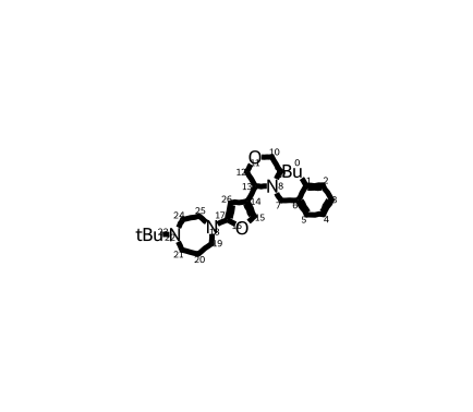 CC(C)(C)c1ccccc1CN1CCOCC1c1coc(N2CCCN(C(C)(C)C)CC2)c1